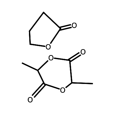 CC1OC(=O)C(C)OC1=O.O=C1CCCO1